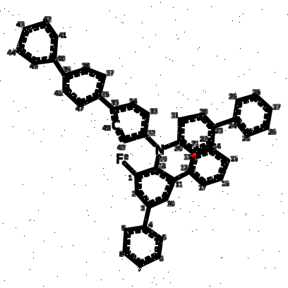 Fc1cc(-c2ccccc2)cc(-c2ccccc2)c1N(c1ccc(-c2ccccc2)cc1)c1ccc(-c2ccc(-c3ccccc3)cc2)cc1